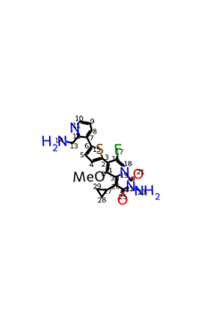 COc1c(-c2ccc(-c3cccnc3CN)s2)c(F)cn2c(=O)n(N)c(=O)c(C3CC3)c12